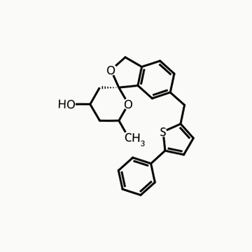 CC1CC(O)C[C@@]2(OCc3ccc(Cc4ccc(-c5ccccc5)s4)cc32)O1